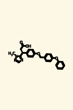 Cn1ncnc1[C@@H](CC(=O)O)c1ccc(OCc2ccc(Oc3ccccc3)cc2)cc1